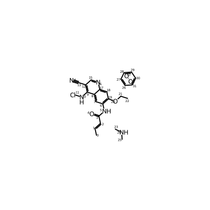 CC=CC(=O)Nc1cc2c(NCl)c(C#N)cnc2cc1OCC.CNC.c1cc2ccc1CO2